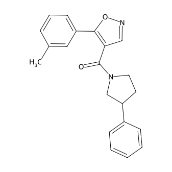 Cc1cccc(-c2oncc2C(=O)N2CCC(c3ccccc3)C2)c1